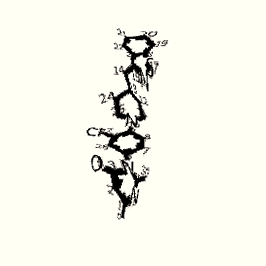 Cc1cc(=O)n(-c2ccc(N3CCC(Cc4nsc5ccccc45)CC3)c(Cl)c2)c(C)n1